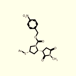 CC(=O)S[C@H]1C[C@@H](C2CC(=O)N(C)C2=O)N(C(=O)OCc2ccc([N+](=O)[O-])cc2)C1